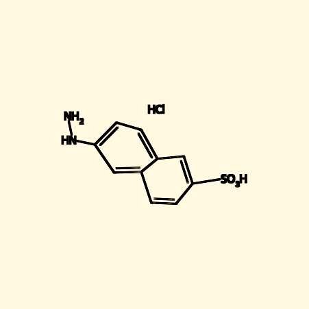 Cl.NNc1ccc2cc(S(=O)(=O)O)ccc2c1